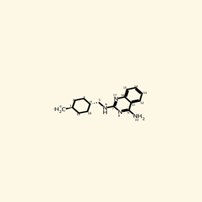 [CH2][C@H]1CC[C@H](CNc2nc(N)c3ccccc3n2)CC1